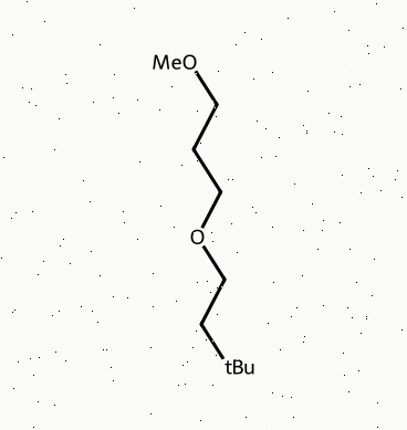 COCCCOCCC(C)(C)C